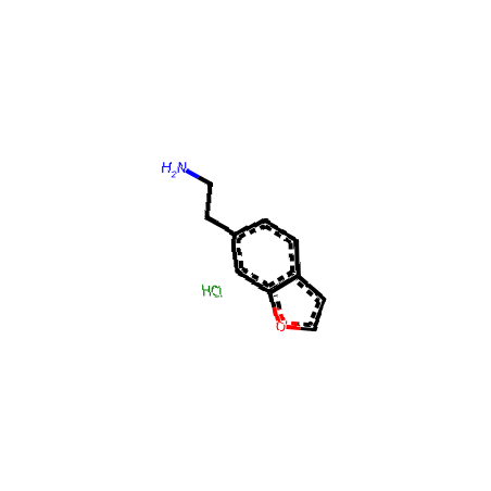 Cl.NCCc1ccc2ccoc2c1